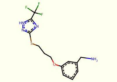 NCc1cccc(OCCCSc2n[nH]c(C(F)(F)F)n2)c1